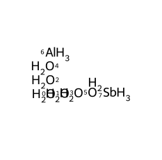 O.O.O.O.O.O.[AlH3].[SbH3]